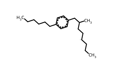 CCC[CH]CCC(C)Cc1ccc(CCCCCC)cc1